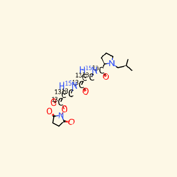 CC(C)CN1CCCC1[13C](=O)[15NH][13CH2][13CH2][13C](=O)[15NH][13CH2][13CH2][13C](=O)ON1C(=O)CCC1=O